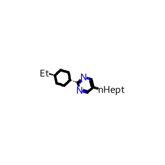 CCCCCCCc1cnc([C@H]2CC[C@H](CC)CC2)nc1